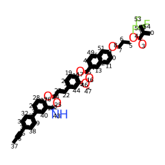 C=C(C(=O)OCCCOc1ccc2cc(C(=O)Oc3ccc(/C=C/C(=O)Oc4ccc(-c5ccc(C#CC)cc5)cc4C=N)cc3OC)ccc2c1)C(F)(F)F